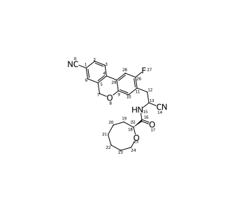 N#Cc1ccc2c(c1)COc1cc(CC(C#N)NC(=O)[C@@H]3CCCCCCO3)c(F)cc1-2